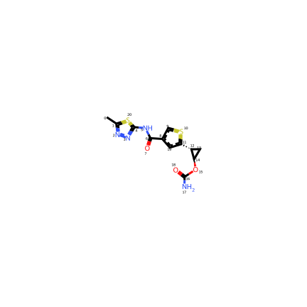 Cc1nnc(NC(=O)c2csc([C@@H]3C[C@H]3OC(N)=O)c2)s1